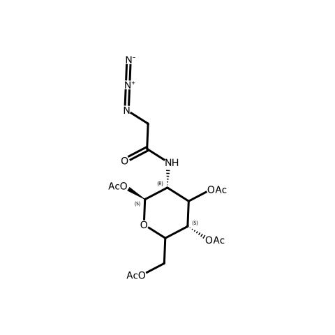 CC(=O)OCC1O[C@@H](OC(C)=O)[C@H](NC(=O)CN=[N+]=[N-])C(OC(C)=O)[C@@H]1OC(C)=O